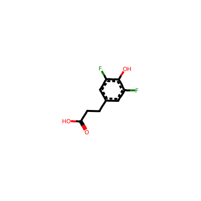 O=C(O)CCc1cc(F)c(O)c(F)c1